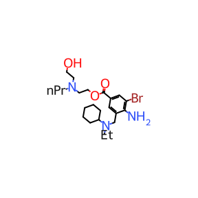 CCCN(CCO)CCOC(=O)c1cc(Br)c(N)c(CN(CC)C2CCCCC2)c1